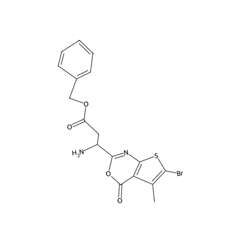 Cc1c(Br)sc2nc(C(N)CC(=O)OCc3ccccc3)oc(=O)c12